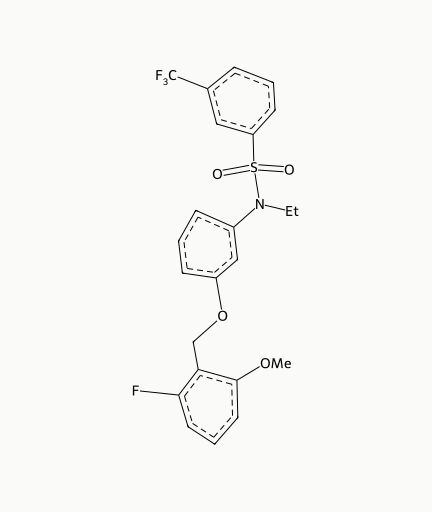 CCN(c1cccc(OCc2c(F)cccc2OC)c1)S(=O)(=O)c1cccc(C(F)(F)F)c1